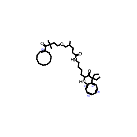 CCC1(CC)C(=O)C(CCCCNC(=O)CCC(C)COCCC(C)(C)C(=O)/C2=C/CCCCCCCC2)NC2=C/C=C\C=C/C=C\21